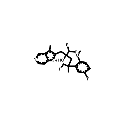 COc1ccc(F)cc1C(C)(CF)CC(O)(Cc1[nH]c2ccncc2c1C)C(F)F